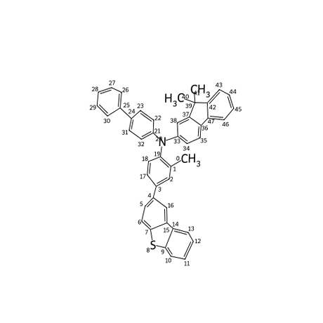 Cc1cc(-c2ccc3sc4ccccc4c3c2)ccc1N(c1ccc(-c2ccccc2)cc1)c1ccc2c(c1)C(C)(C)c1ccccc1-2